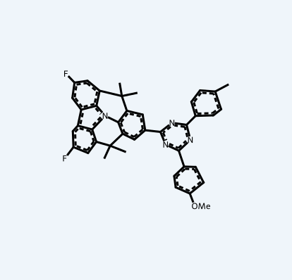 COc1ccc(-c2nc(-c3ccc(C)cc3)nc(-c3cc4c5c(c3)C(C)(C)c3cc(F)cc6c7cc(F)cc(c7n-5c36)C4(C)C)n2)cc1